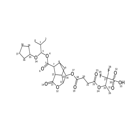 CC(C)C(OC(=O)C1C2CC3C(OC(=O)C31)C2OC(=O)CCC(=O)OC(C)C(F)(F)S(=O)(=O)O)OC1CCCC1